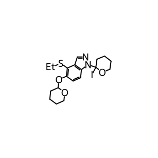 CCSc1c(OC2CCCCO2)ccc2c1cnn2C1(I)CCCCO1